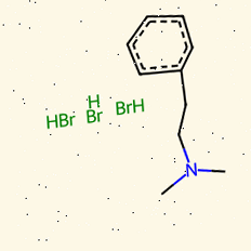 Br.Br.Br.CN(C)CCc1ccccc1